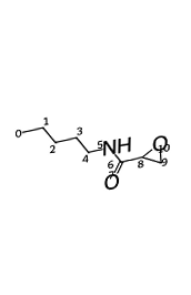 CCCCCNC(=O)C1CO1